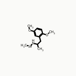 COc1ccc(OC)c(CC(C)N[Se]C)c1